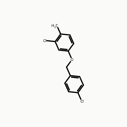 Cc1ccc(OCc2ccc(Cl)cc2)cc1Cl